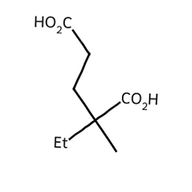 CCC(C)(CCC(=O)O)C(=O)O